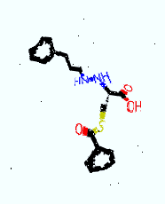 O=C(SC[C@H](NNCCCc1ccccc1)C(=O)O)c1ccccc1